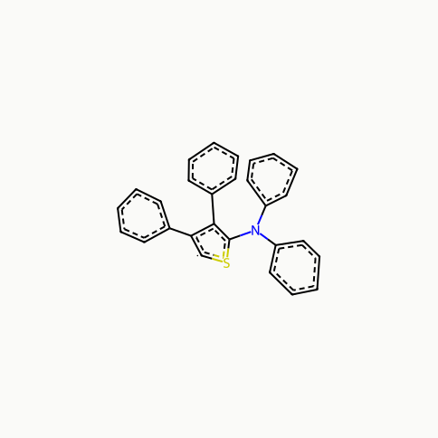 [c]1sc(N(c2ccccc2)c2ccccc2)c(-c2ccccc2)c1-c1ccccc1